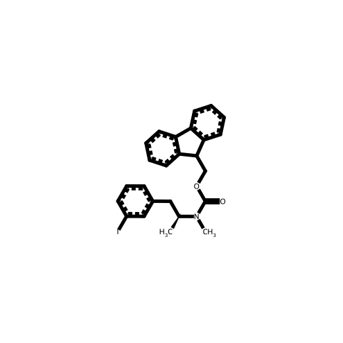 C[C@@H](Cc1cccc(I)c1)N(C)C(=O)OCC1c2ccccc2-c2ccccc21